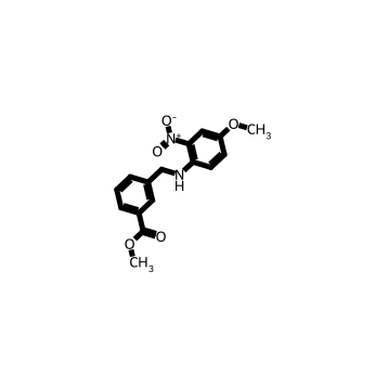 COC(=O)c1cccc(CNc2ccc(OC)cc2[N+](=O)[O-])c1